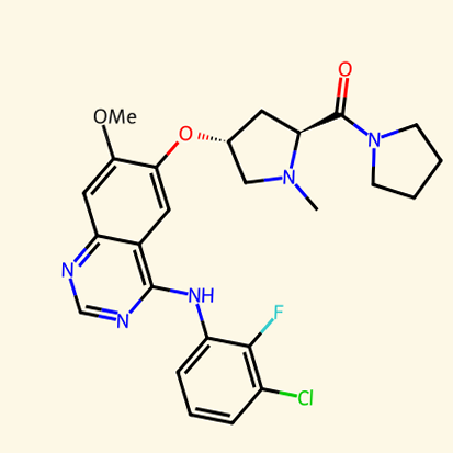 COc1cc2ncnc(Nc3cccc(Cl)c3F)c2cc1O[C@@H]1C[C@@H](C(=O)N2CCCC2)N(C)C1